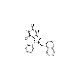 Cn1c(=O)[nH]c2nn(Cc3cccc4ccccc34)c(-c3ccccn3)c2c1=O